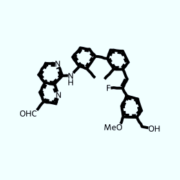 COc1cc(C(F)=Cc2cccc(-c3cccc(Nc4nccc5cc(C=O)cnc45)c3C)c2C)ccc1CO